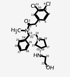 CN(C(=O)Cc1ccc(Cl)c(Cl)c1)[C@H](CN1CC[C@H](NCCO)C1)c1ccccc1